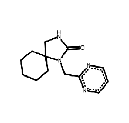 O=C1NCC2(CCCCC2)N1Cc1ncccn1